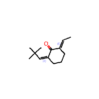 C/C=C1\CCC/C(=C/C(C)(C)C)C1=O